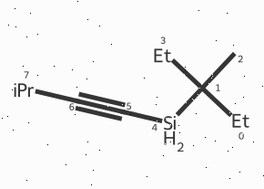 CCC(C)(CC)[SiH2]C#CC(C)C